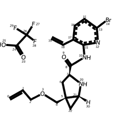 C=CCOC[C@@]12C[C@@H](C(=O)Nc3nc(Br)ccc3C=C)N[C@@H]1C2.O=C(O)C(F)(F)F